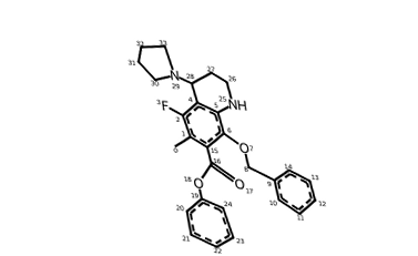 Cc1c(F)c2c(c(OCc3ccccc3)c1C(=O)Oc1ccccc1)NCCC2N1CCCC1